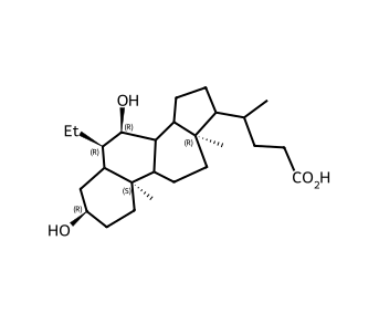 CC[C@@H]1C2C[C@H](O)CC[C@]2(C)C2CC[C@]3(C)C(C(C)CCC(=O)O)CCC3C2[C@@H]1O